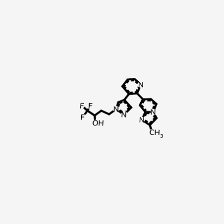 Cc1cn2ccc(-c3ncccc3-c3cnn(CCC(O)C(F)(F)F)c3)cc2n1